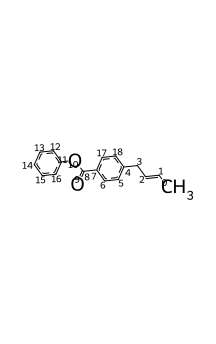 CC=CCc1ccc(C(=O)Oc2ccccc2)cc1